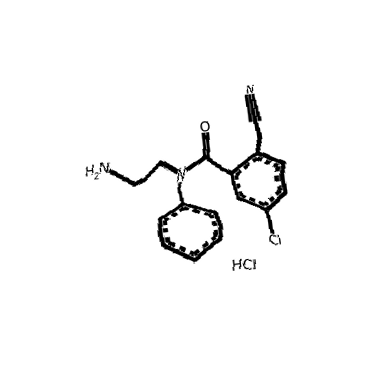 Cl.N#Cc1ccc(Cl)cc1C(=O)N(CCN)c1ccccc1